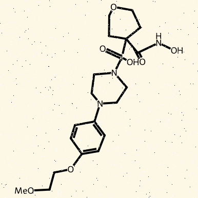 COCCOc1ccc(N2CCN(I(=O)(O)C3(C(=O)NO)CCOCC3)CC2)cc1